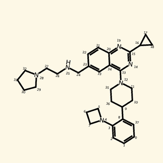 c1ccc(N2CCC2)c(C2CCN(c3nc(C4CC4)nc4ccc(CNCCN5CCCC5)cc34)CC2)c1